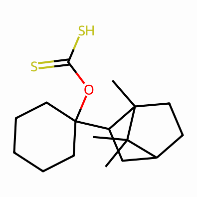 CC1(C)C2CCC1(C)C(C1(OC(=S)S)CCCCC1)C2